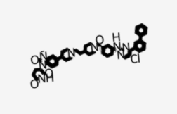 Cn1c(=O)n(C2CCC(=O)NC2=O)c2ccc(C3CCN(CCC4CCN(C(=O)[C@@H]5CCC[C@H](Nc6ncc(Cl)c(-c7cccc(-c8ccccc8)c7)n6)C5)CC4)CC3)cc21